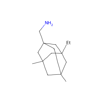 CCC12CC3(C)CC(C)(C1)CC(CN)(C3)C2